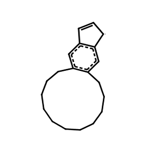 [CH]1C=Cc2cc3c(cc21)CCCCCCCCCCC3